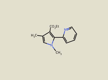 CCOC(=O)c1c(C)cn(C)c1-c1ccccn1